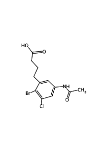 CC(=O)Nc1cc(Cl)c(Br)c(CCCC(=O)O)c1